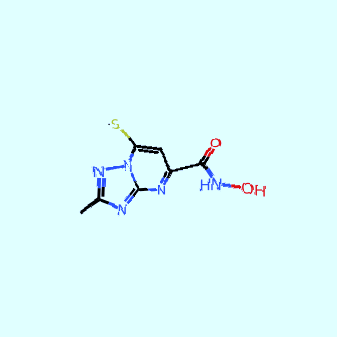 Cc1nc2nc(C(=O)NO)cc([S])n2n1